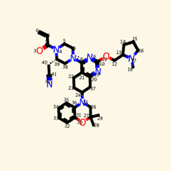 C=CC(=O)N1CCN(c2nc(OCC3CCCN3C)nc3c2CCC(N2CC(C)(C)Oc4ccccc42)C3)C[C@@H]1CC#N